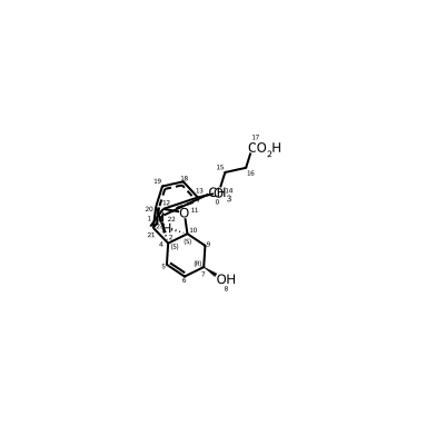 CN1CC[C@@]23C=C[C@H](O)C[C@@H]2Oc2c(OCCC(=O)O)ccc(c23)C1